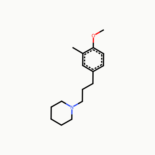 COc1ccc(CCCN2CCCCC2)cc1C